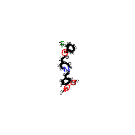 COc1ccc(C=CN2CCC(CCOc3ccccc3F)CC2)cc1OC